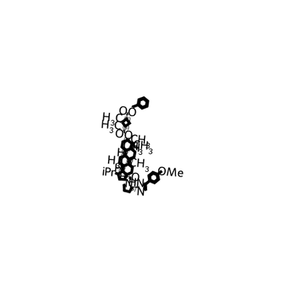 COc1ccc(-c2cnc([C@@H]3CCCN3C(=O)[C@]34CCC(C(C)C)[C@@H]3[C@H]3CC[C@@H]5[C@@]6(C)CC[C@H](OC(=O)[C@H]7C[C@@H](C(=O)OCc8ccccc8)C7(C)C)C(C)(C)[C@@H]6CC[C@@]5(C)[C@]3(C)CC4)[nH]2)cc1